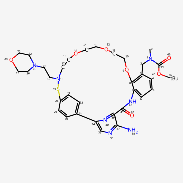 CN(Cc1cccc2c1OCCOCCOCCN(CCN1CCOCC1)Sc1ccc(cc1)-c1cnc(N)c(n1)C(=O)N2)C(=O)OC(C)(C)C